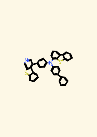 c1ccc(-c2ccc(N(c3ccc(-c4cncc5sc6ccccc6c45)cc3)c3cccc4c3sc3ccccc34)cc2)cc1